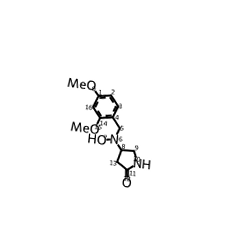 COc1ccc(CN(O)C2CNC(=O)C2)c(OC)c1